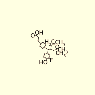 CC1(C)CC(=C(c2ccc(C=CC(=O)O)cc2)c2ccc(O)c(F)c2)CC(C)(C)O1